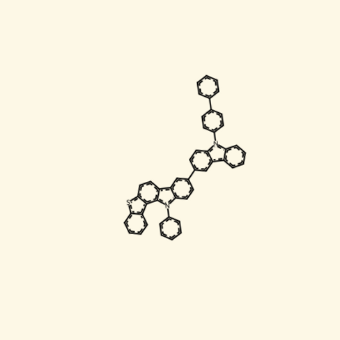 c1ccc(-c2ccc(-n3c4ccccc4c4cc(-c5ccc6c(c5)c5ccc7sc8ccccc8c7c5n6-c5ccccc5)ccc43)cc2)cc1